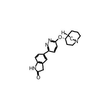 O=C1Cc2cc(-c3ccc(O[C@H]4CCN5CCC[C@@H]4C5)nn3)ccc2N1